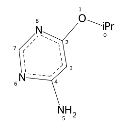 CC(C)Oc1cc(N)ncn1